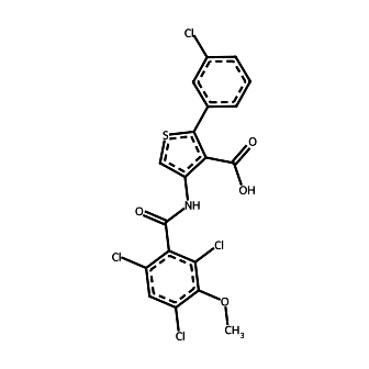 COc1c(Cl)cc(Cl)c(C(=O)Nc2csc(-c3cccc(Cl)c3)c2C(=O)O)c1Cl